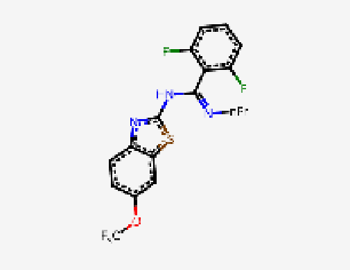 CCCN=C(Nc1nc2ccc(OC(F)(F)F)cc2s1)c1c(F)cccc1F